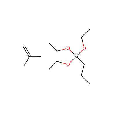 C=C(C)C.CCC[Si](OCC)(OCC)OCC